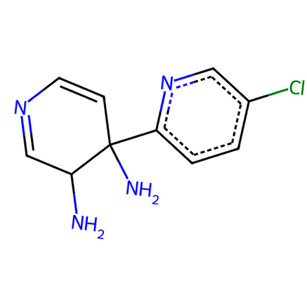 NC1C=NC=CC1(N)c1ccc(Cl)cn1